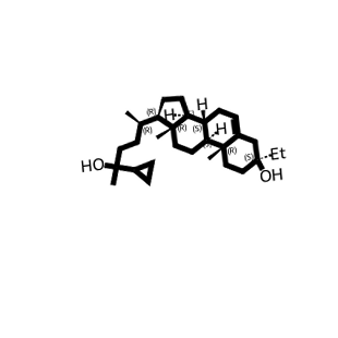 CC[C@]1(O)CC[C@@]2(C)C(=CC[C@H]3[C@@H]4CC[C@H]([C@H](C)CCC(C)(O)C5CC5)[C@@]4(C)CC[C@@H]32)C1